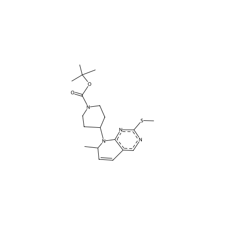 CSc1ncc2c(n1)N(C1CCN(C(=O)OC(C)(C)C)CC1)C(C)C=C2